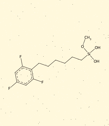 CO[Si](O)(O)CCCCCCc1c(F)cc(F)cc1F